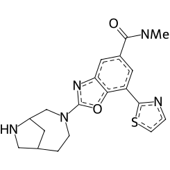 CNC(=O)c1cc(-c2nccs2)c2oc(N3CCC4CNC(C4)C3)nc2c1